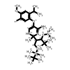 COc1cc(C(C)C)c(OC2=CNC(N)(C(CO[Si](C)(C)C(C)(C)C)C(O[SiH](C)C)C(C)(C)C)N=C2N)cc1I